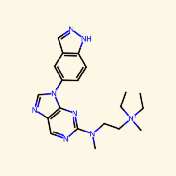 CC[N+](C)(CC)CCN(C)c1ncc2ncn(-c3ccc4[nH]ncc4c3)c2n1